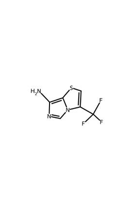 Nc1ncn2c(C(F)(F)F)csc12